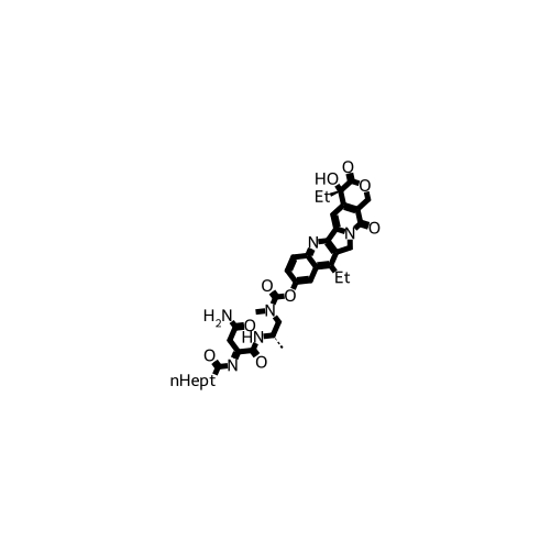 CCCCCCCC(=O)/N=C(\CC(N)=O)C(=O)N[C@@H](C)CN(C)C(=O)Oc1ccc2nc3c(c(CC)c2c1)Cn1c-3cc2c(c1=O)COC(=O)[C@]2(O)CC